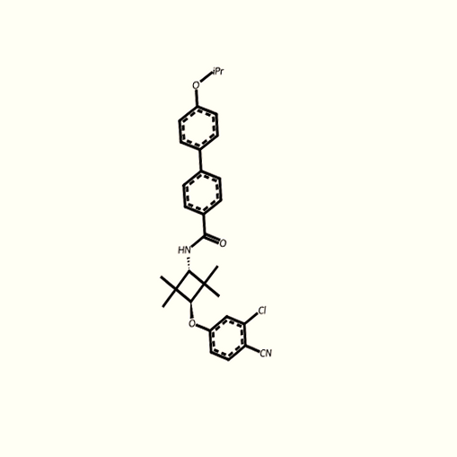 CC(C)Oc1ccc(-c2ccc(C(=O)N[C@H]3C(C)(C)[C@H](Oc4ccc(C#N)c(Cl)c4)C3(C)C)cc2)cc1